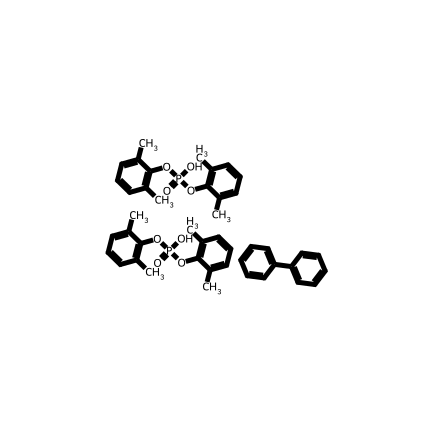 Cc1cccc(C)c1OP(=O)(O)Oc1c(C)cccc1C.Cc1cccc(C)c1OP(=O)(O)Oc1c(C)cccc1C.c1ccc(-c2ccccc2)cc1